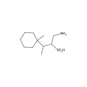 CC(C(CN)S(=O)(=O)O)C1(C)CCCCC1